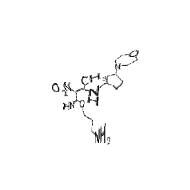 C/C(NC1CCC(N2CCOCC2)C1)=C(/C(=N)OCCCN)[N+](=O)[O-]